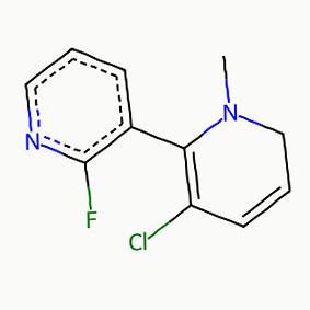 CN1CC=CC(Cl)=C1c1cccnc1F